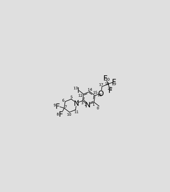 Cc1nc(N2CCC(F)(F)CC2)c(I)cc1OCC(F)(F)F